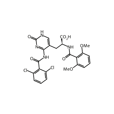 COc1cccc(OC)c1C(=O)N[C@@H](Cc1c[nH]c(=O)nc1NC(=O)c1c(Cl)cccc1Cl)C(=O)O